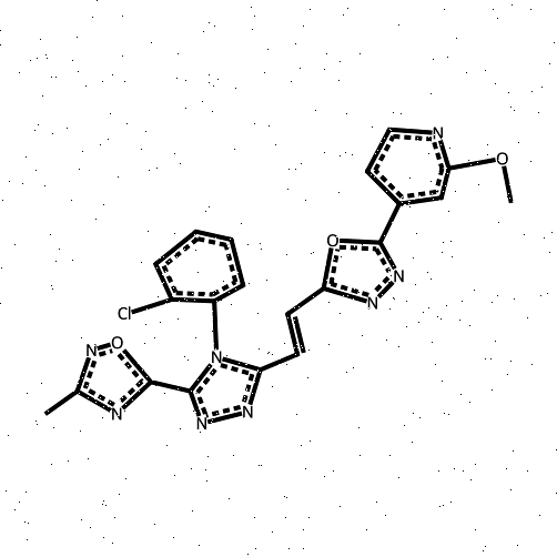 COc1cc(-c2nnc(/C=C/c3nnc(-c4nc(C)no4)n3-c3ccccc3Cl)o2)ccn1